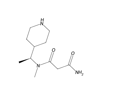 C[C@@H](C1CCNCC1)N(C)C(=O)CC(N)=O